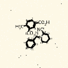 Cc1ccc(C(=O)O)cc1C(=O)O.N#CC1CCCCN1Cc1ccccc1